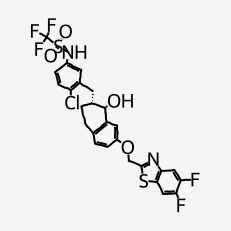 O=S(=O)(Nc1ccc(Cl)c(C[C@H]2CCc3ccc(OCc4nc5cc(F)c(F)cc5s4)cc3[C@H]2O)c1)C(F)(F)F